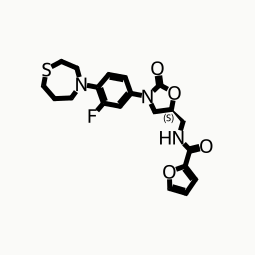 O=C(NC[C@H]1CN(c2ccc(N3CCCSCC3)c(F)c2)C(=O)O1)c1ccco1